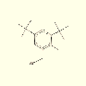 Cc1c(CBr)cc(C(C)(C)C)cc1C(C)(C)C